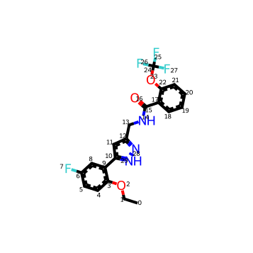 CCOc1ccc(F)cc1-c1cc(CNC(=O)c2ccccc2OC(F)(F)F)n[nH]1